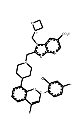 O=C(O)c1cnc2nc(CN3CCC(c4cccc5c4O[C@H](c4ccc(Cl)cc4Cl)C=C5F)CC3)n(C[C@@H]3CCO3)c2c1